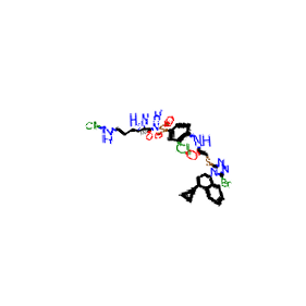 N[C@@H](CCCCNCl)C(=O)NS(=O)(=O)c1ccc(NC(=O)CSc2nnc(Br)n2-c2ccc(C3CC3)c3ccccc23)c(Cl)c1